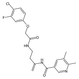 C=C(CCNC(=O)COc1ccc(Cl)c(F)c1)NC(=O)c1cnc(C)c(C)c1